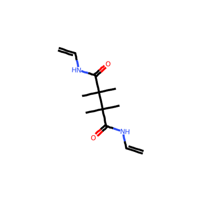 C=CNC(=O)C(C)(C)C(C)(C)C(=O)NC=C